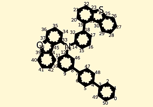 c1ccc(-c2ccc(-c3cccc(N(c4cccc(-c5cccc6sc7ccccc7c56)c4)c4cccc5oc6ccccc6c45)c3)cc2)cc1